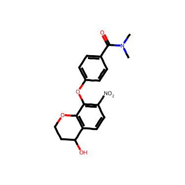 CN(C)C(=O)c1ccc(Oc2c([N+](=O)[O-])ccc3c2OCCC3O)cc1